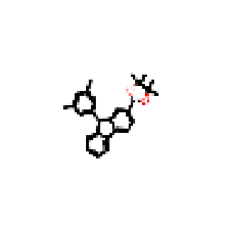 Cc1cc(C)cc(C2c3ccccc3-c3ccc(B4OC(C)(C)C(C)(C)O4)cc32)c1